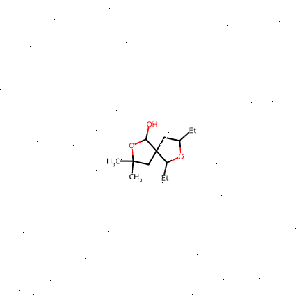 CCC1CC2(CC(C)(C)OC2O)C(CC)O1